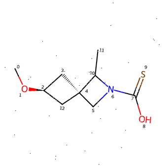 CO[C@H]1C[C@]2(CN(C(O)=S)C2C)C1